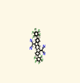 N#CC(C#N)=C1C2=CC3c4ccc(-c5c(F)c(F)c(F)c(F)c5F)cc4C(=C(C#N)C#N)C3C=C2c2ccc(-c3c(F)c(F)c(F)c(F)c3F)cc21